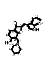 O=C1/C(=C/c2c[nH]c3ncccc23)Oc2c1ccc(O)c2CN1CCCCC1